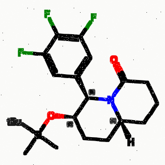 CC(C)(C)[Si](C)(C)O[C@@H]1CC[C@H]2CCCC(=O)N2[C@@H]1c1cc(F)c(F)c(F)c1